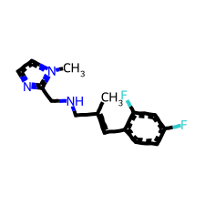 C/C(=C\c1ccc(F)cc1F)CNCc1nccn1C